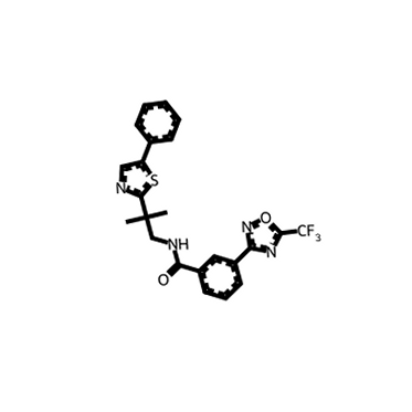 CC(C)(CNC(=O)c1cccc(-c2noc(C(F)(F)F)n2)c1)c1ncc(-c2ccccc2)s1